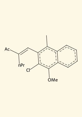 CCC/C(=C\c1c(Cl)c(OC)c2ccccc2c1C)C(C)=O